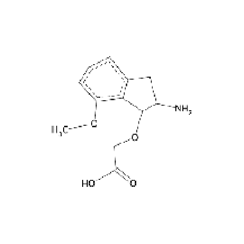 COc1cccc2c1C(OCC(=O)O)C(N)C2